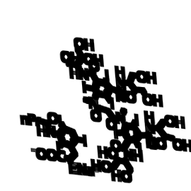 CCCC(=O)Nc1c(I)cc(I)c(CC(CC)C(=O)[O-])c1I.CN(C(=O)CC(=O)N(C)c1c(I)c(C(=O)NC(CO)C(O)CO)c(I)c(C(=O)NC(CO)C(O)CO)c1I)c1c(I)c(C(=O)NC(CO)C(O)CO)c(I)c(C(=O)NC(CO)C(O)CO)c1I.[Na+]